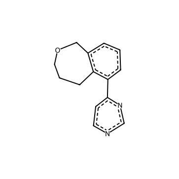 c1cc2c(c(-c3ccncn3)c1)CCCOC2